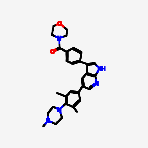 Cc1cc(-c2cnc3[nH]cc(-c4ccc(C(=O)N5CCOCC5)cc4)c3c2)cc(C)c1N1CCN(C)CC1